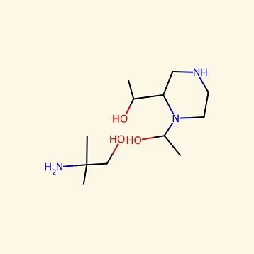 CC(C)(N)CO.CC(O)C1CNCCN1C(C)O